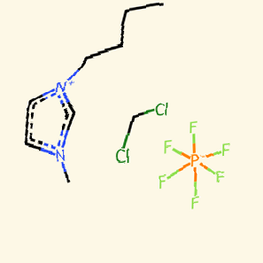 CCCC[n+]1ccn(C)c1.ClCCl.F[P-](F)(F)(F)(F)F